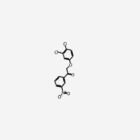 O=C(COc1ccc(Cl)c(Cl)c1)c1cccc([N+](=O)[O-])c1